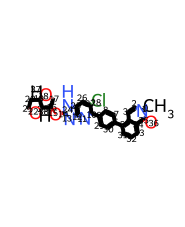 Cn1ccc2c(-c3ccc(-c4nc5nc(O[C@@H]6CO[C@@H]7CCO[C@@H]76)[nH]c5cc4Cl)cc3)cccc2c1=O